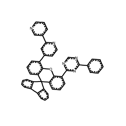 c1ccc(-c2ncnc(-c3cccc4c3Oc3c(-c5ccnc(-c6cccnc6)c5)cccc3C43c4ccccc4-c4ccccc43)n2)cc1